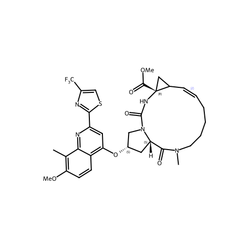 COC(=O)[C@@]12CC1/C=C\CCCCN(C)C(=O)[C@@H]1C[C@H](Oc3cc(-c4nc(C(F)(F)F)cs4)nc4c(C)c(OC)ccc34)CN1C(=O)N2